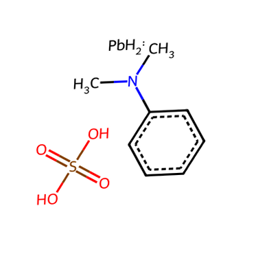 CN(C)c1ccccc1.O=S(=O)(O)O.[PbH2]